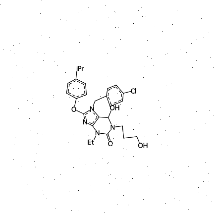 CCN1C(=O)N(CCCO)C(O)c2c1nc(Oc1ccc(C(C)C)cc1)n2Cc1ccc(Cl)cc1